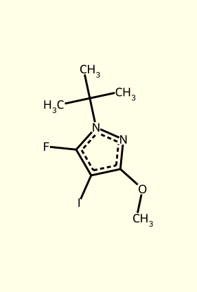 COc1nn(C(C)(C)C)c(F)c1I